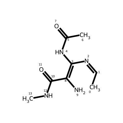 C/C=N\C(NC(C)=O)=C(/N)C(=O)NC